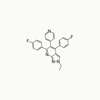 CCn1cc2c(-c3ccc(F)cc3)c(-c3ccncc3)c(-c3ccc(F)cc3)nc2n1